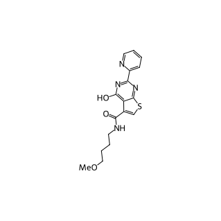 COCCCCNC(=O)c1csc2nc(-c3ccccn3)nc(O)c12